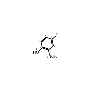 Oc1ccc(F)cc1NC(F)(F)F